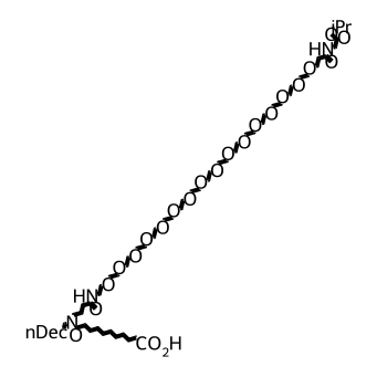 CCCCCCCCCCCN(CCCC(=O)NCCOCCOCCOCCOCCOCCOCCOCCOCCOCCOCCOCCOCCOCCOCCOCCOCCC(=O)NCC(=O)OC(C)C)C(=O)CCCCCCCCCC(=O)O